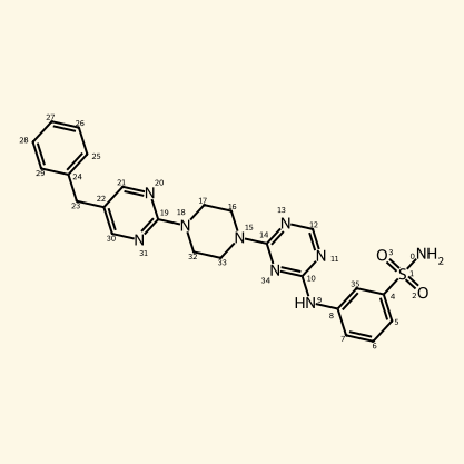 NS(=O)(=O)c1cccc(Nc2ncnc(N3CCN(c4ncc(Cc5ccccc5)cn4)CC3)n2)c1